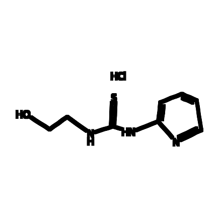 Cl.OCCNC(=S)Nc1ccccn1